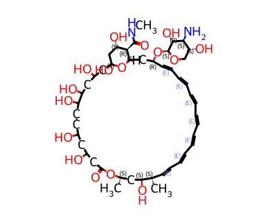 CNC(=O)[C@H]1[C@@H]2C[C@@H](O[C@@H]3OC[C@@H](O)[C@H](N)[C@H]3O)/C=C/C=C/C=C/C=C/C=C/C=C/C=C/[C@H](C)[C@@H](O)C[C@H](C)OC(=O)CC(O)CC(O)CCC(O)C(O)CC(O)C[C@](O)(C[C@@H]1O)O2